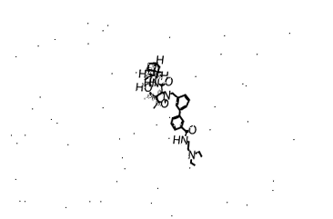 CCN(CC)CCNC(=O)c1cccc(-c2cccc(CN3O[C@@H](C)[C@@H]([C@H](C)O)[C@H]3C(=O)N[C@H]3C[C@H]4C[C@@H]([C@@H]3C)C4(C)C)c2)c1